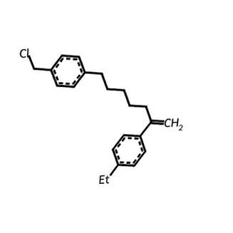 C=C(CCCCCc1ccc(CCl)cc1)c1ccc(CC)cc1